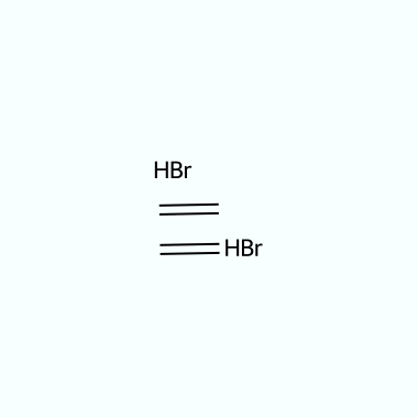 Br.Br.C=C.C=C